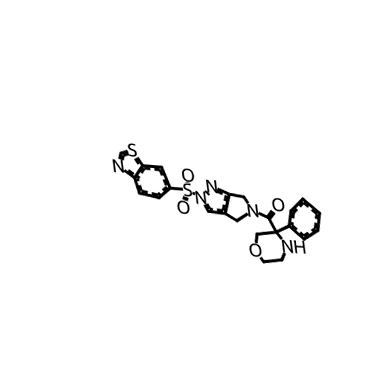 O=C(N1Cc2cn(S(=O)(=O)c3ccc4ncsc4c3)nc2C1)C1(c2ccccc2)COCCN1